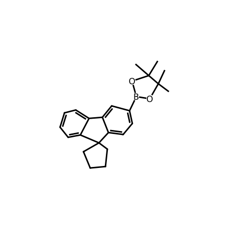 CC1(C)OB(c2ccc3c(c2)-c2ccccc2C32CCCC2)OC1(C)C